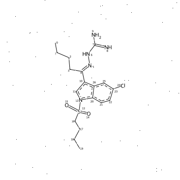 CCCCC(=NNC(=N)N)c1cn(S(=O)(=O)CCCC)c2ccc(Cl)cc12